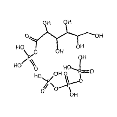 O=C(OP(=O)(O)O)C(O)C(O)C(O)C(O)CO.O=P(O)(O)OP(=O)(O)OP(=O)(O)O